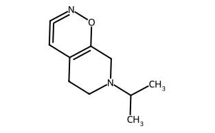 CC(C)N1CCC2=C(C1)ON=C=C2